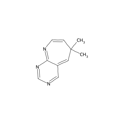 CC1(C)C=CN=c2ncncc2=C1